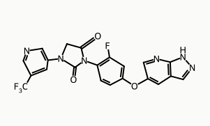 O=C1CN(c2cncc(C(F)(F)F)c2)C(=O)N1c1ccc(Oc2cnc3[nH]ncc3c2)cc1F